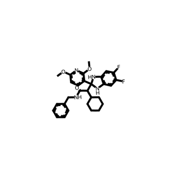 COc1ccc(C2(C(C(=O)NCc3ccccc3)C3CCCCC3)Nc3cc(F)c(F)cc3N2)c(OC)n1